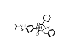 CC(C)NSc1ccc(NC(=O)[C@H](Cc2ccccc2)NC(=O)C2CCCCC2)cc1